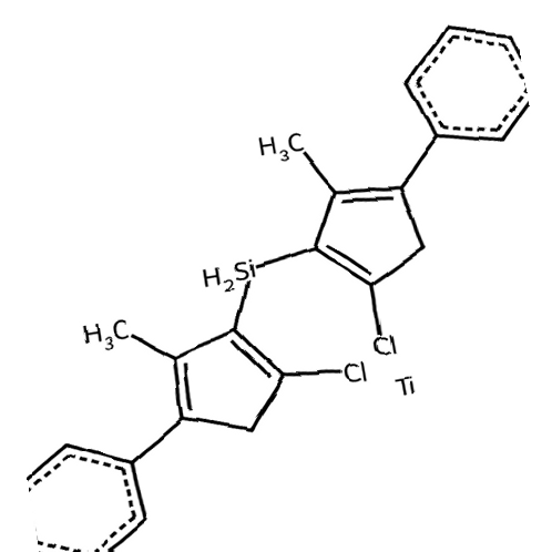 CC1=C(c2ccccc2)CC(Cl)=C1[SiH2]C1=C(Cl)CC(c2ccccc2)=C1C.[Ti]